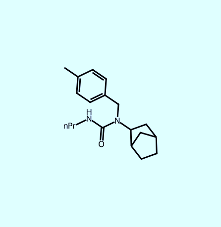 CCCNC(=O)N(Cc1ccc(C)cc1)C1CC2CCC1C2